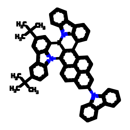 CC(C)(C)c1ccc2c(c1)c1cc(C(C)(C)C)cc3c1n2-c1c2c(c4ccc5cc(-n6c7ccccc7c7ccccc76)cc6ccc1c4c56)-c1cccc4c5ccccc5n(c14)B23